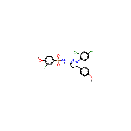 COc1ccc(C2CC(CNS(=O)(=O)c3ccc(OC)c(F)c3)=NN2c2ccc(Cl)cc2Cl)cc1